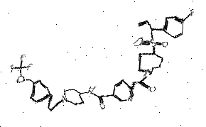 C=CC(c1ccc(F)cc1)S(=O)(=O)C1CCN(C(=O)c2ccc(C(=O)NC3CCN(Cc4ccc(OC(F)(F)F)cc4)CC3)cn2)CC1